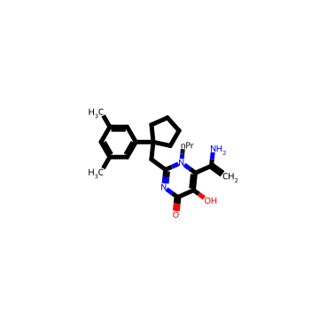 C=C(N)c1c(O)c(=O)nc(CC2(c3cc(C)cc(C)c3)CCCC2)n1CCC